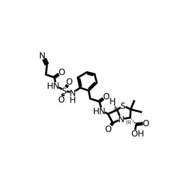 CC1(C)S[C@@H]2C(NC(=O)Cc3ccccc3NS(=O)(=O)NC(=O)CC#N)C(=O)N2[C@H]1C(=O)O